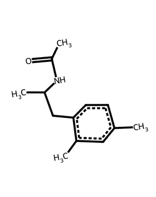 CC(=O)NC(C)Cc1ccc(C)cc1C